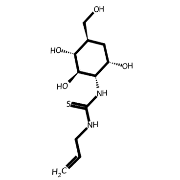 C=CCNC(=S)N[C@@H]1[C@@H](O)[C@H](O)[C@@H](CO)C[C@@H]1O